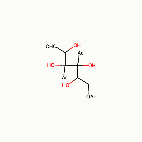 CC(=O)OCC(O)C(O)(C(C)=O)C(O)(C(C)=O)C(O)C=O